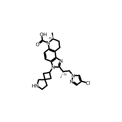 C[C@@H](Cn1cc(Cl)cn1)c1nc2c3c(ccc2n1C1CC2(CCNC2)C1)N(C(=O)O)[C@@H](C)CC3